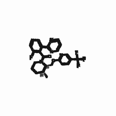 C[C@@H]1CCCN(C(=O)c2c(F)cccc2-c2ncccn2)[C@@H]1COc1ccc(C(F)(F)F)cn1